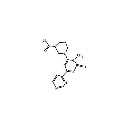 CCC(=O)C1CCCN(c2nc(-c3ccncn3)cc(=O)n2C)C1